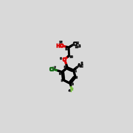 CC(=O)c1cc(F)cc(Cl)c1OCC(O)C(F)(F)F